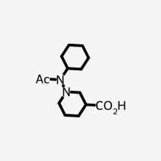 CC(=O)N(C1CCCCC1)N1CCCC(C(=O)O)C1